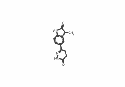 CC1C(=O)Nc2ccc(C3=NNC(=O)CC3)cc21